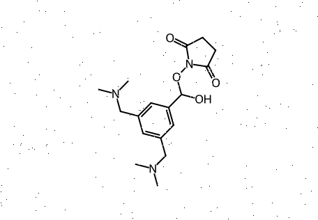 CN(C)Cc1cc(CN(C)C)cc(C(O)ON2C(=O)CCC2=O)c1